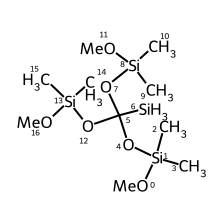 CO[Si](C)(C)OC([SiH3])(O[Si](C)(C)OC)O[Si](C)(C)OC